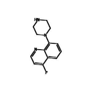 Fc1ccnc2c(N3CCNCC3)cccc12